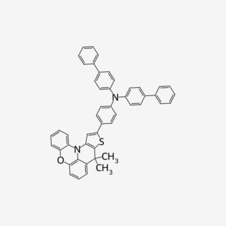 CC1(C)c2cccc3c2N(c2ccccc2O3)c2cc(-c3ccc(N(c4ccc(-c5ccccc5)cc4)c4ccc(-c5ccccc5)cc4)cc3)sc21